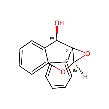 O[C@@H]1c2ccccc2O[C@@H]2O[C@@]21c1ccccc1